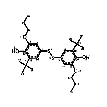 CCCOc1cc(SSc2cc(OCCC)c(O)c(C(C)(C)C)c2)cc(C(C)(C)C)c1O